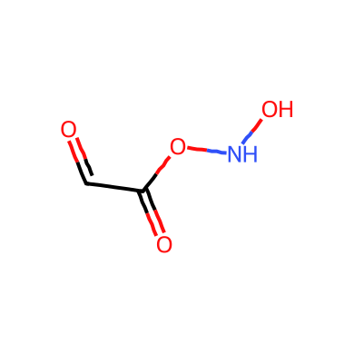 O=CC(=O)ONO